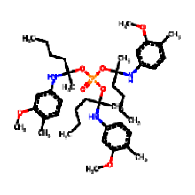 CCCCC(C)(Nc1ccc(C)c(OC)c1)OP(=O)(OC(C)(CCCC)Nc1ccc(C)c(OC)c1)OC(C)(CCCC)Nc1ccc(C)c(OC)c1